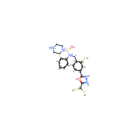 [O-][S+](N1CCNCC1)N(Cc1ccc(-c2nnc(C(F)F)o2)cc1F)c1ccccc1